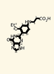 CCOc1cc(NCCC(=O)O)ccc1-c1nc2[nH]cnc2c(=O)[nH]1